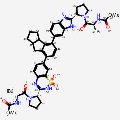 CC[C@H](C)[C@H](NC(=O)OC)C(=O)N1CCC[C@H]1C1=Nc2ccc(-c3ccc(-c4ccc5nc([C@@H]6CCCN6C(=O)[C@@H](NC(=O)OC)C(C)C)[nH]c5c4)c4c3CC3CCCC43)cc2S(=O)(=O)N1